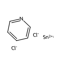 [Cl-].[Cl-].[Sn+2].c1ccncc1